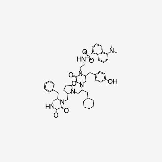 CN(C)c1cccc2c(S(=O)(=O)NCCN3C(=O)C(=O)N(C(CC4CCCCC4)CN4CCCC4CN4C(=O)C(=O)NCC4Cc4ccccc4)CC3Cc3ccc(O)cc3)cccc12